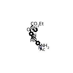 CCOC(=O)CCN(C(=O)c1ccc2c(c1)nc(CNc1ccc(/C(N)=N/C(C)=O)cc1)n2C)c1ccccn1